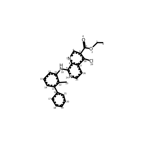 CCOC(=O)c1cnc2c(Nc3cccc(-c4ccccc4)c3C)nccc2c1Cl